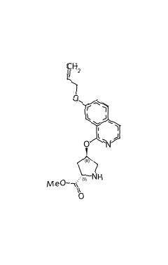 C=CCOc1ccc2ccnc(O[C@H]3CN[C@H](C(=O)OC)C3)c2c1